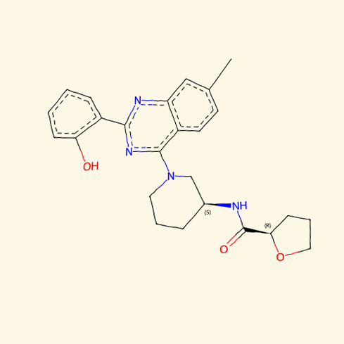 Cc1ccc2c(N3CCC[C@H](NC(=O)[C@H]4CCCO4)C3)nc(-c3ccccc3O)nc2c1